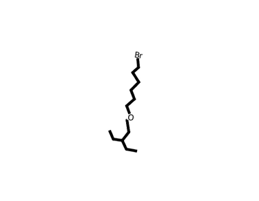 CCC(CC)CCOCCCCCCBr